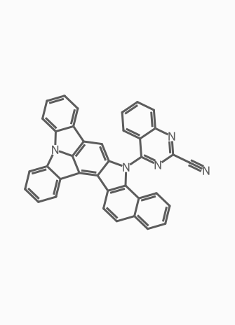 N#Cc1nc(-n2c3cc4c5ccccc5n5c6ccccc6c(c3c3ccc6ccccc6c32)c45)c2ccccc2n1